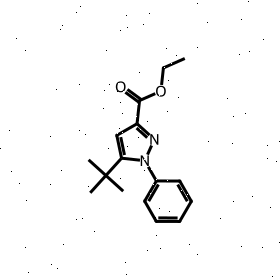 CCOC(=O)c1cc(C(C)(C)C)n(-c2ccccc2)n1